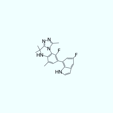 Cc1cc(-c2cc(F)cc3cc[nH]c23)c(F)c2c1NC(C)(C)c1nnc(C)n1-2